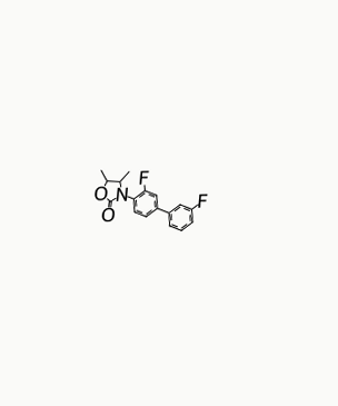 CC1OC(=O)N(c2ccc(-c3cccc(F)c3)cc2F)C1C